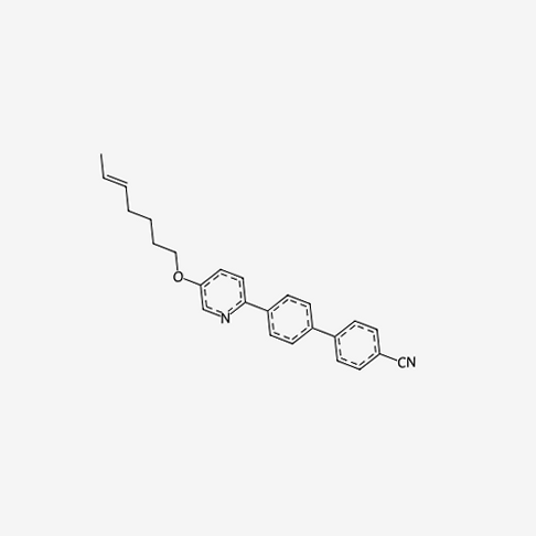 CC=CCCCCOc1ccc(-c2ccc(-c3ccc(C#N)cc3)cc2)nc1